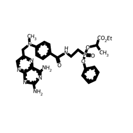 CCOC(=O)C(C)OP(=O)(CCNC(=O)c1ccc(N(C)Cc2cnc3nc(N)nc(N)c3n2)cc1)Oc1ccccc1